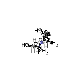 C=C/C(=C\C=C(/C)C1=NC(C2(S(=O)(=O)CCO)CC2)=C[C@@H](N)N1)NC(=O)NCCO